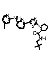 Cc1ccnc(Nc2cccc(-c3cnc(N4CCC[C@H]4C(=O)NCC(C)(C)C)s3)n2)c1